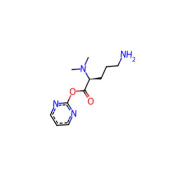 CN(C)[C@@H](CCCN)C(=O)Oc1ncccn1